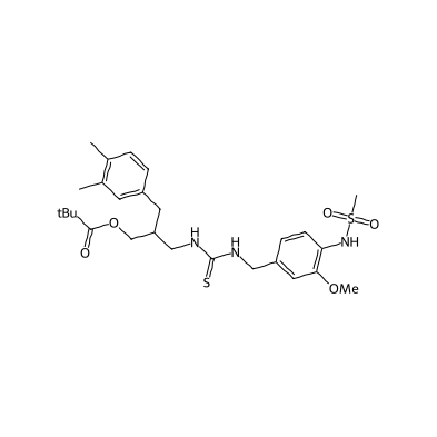 COc1cc(CNC(=S)NCC(COC(=O)C(C)(C)C)Cc2ccc(C)c(C)c2)ccc1NS(C)(=O)=O